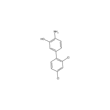 Nc1ccc(-c2ccc(Cl)cc2Cl)cc1O